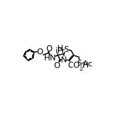 CC(=O)SCC1=C(C(=O)O)N2C(=O)[C@@](NC(=O)COc3ccccc3)(C(C)C)[C@H]2SC1